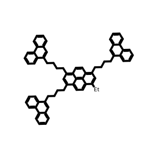 CCc1cc(CCCCc2cc3ccccc3c3ccccc23)c2ccc3c(CCCCc4cc5ccccc5c5ccccc45)cc(CCCCc4cc5ccccc5c5ccccc45)c4ccc1c2c43